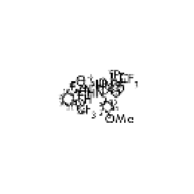 COc1ccc([C@H](NC(=O)[C@H](C)NC(=O)C(F)(F)c2ccccc2OC(F)(F)F)C(=O)N[C@H](C(=O)C(F)(F)F)C(C)C)cc1